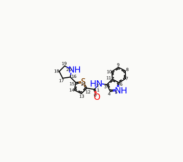 O=C(Nc1c[nH]c2ccccc12)c1ccc(C2CCCN2)s1